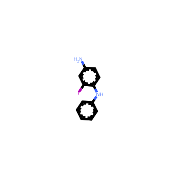 Nc1ccc(Nc2ccccc2)c(I)c1